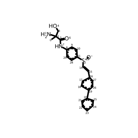 CC(N)(CO)C(=O)Nc1ccc([S+]([O-])C=Cc2ccc(-c3ccccc3)cc2)cc1